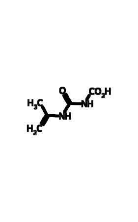 C=C(C)NC(=O)NC(=O)O